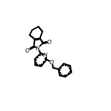 O=C1C2=C(CCCC2)C(=O)N1c1cccc(OCc2ccccc2)n1